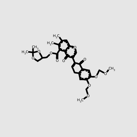 COCOc1cc2c(cc1OCOC)C(=O)C(c1coc3cc(C)c(C)c(C(=O)OCC4COC(C)(C)O4)c3c1=O)=CC2